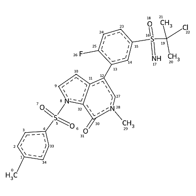 Cc1ccc(S(=O)(=O)n2ccc3c(-c4cc(S(=N)(=O)C(C)(C)Cl)ccc4F)cn(C)c(=O)c32)cc1